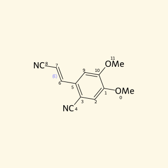 COc1cc(C#N)c(/C=C/C#N)cc1OC